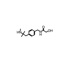 CNC(C)(C)Cc1ccc(CNC(=O)CO)cc1